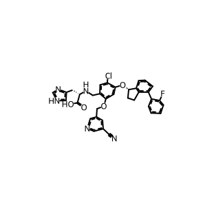 N#Cc1cncc(COc2cc(O[C@H]3CCc4c(-c5ccccc5F)cccc43)c(Cl)cc2CN[C@@H](Cc2c[nH]cn2)C(=O)O)c1